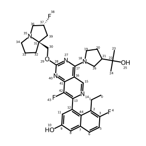 CCc1c(F)ccc2cc(O)cc(-c3ncc4c(N5CCC(C(C)(C)O)C5)nc(OC[C@@]56CCCN5C[C@H](F)C6)nc4c3F)c12